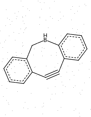 B1Cc2ccccc2C#Cc2ccccc21